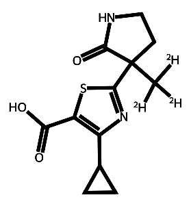 [2H]C([2H])([2H])C1(c2nc(C3CC3)c(C(=O)O)s2)CCNC1=O